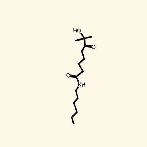 CCCCCCNC(=O)CCCCC(=O)C(C)(C)O